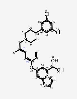 C=C/C(=C\C=C(/C)CN1CCC(c2cc(Cl)cc(Cl)c2)CC1)Oc1cc(C(O)O)n2ccnc2c1